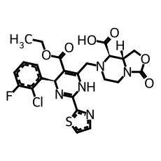 CCOC(=O)C1=C(CN2CCN3C(=O)OC[C@H]3[C@@H]2C(=O)O)NC(c2nccs2)=N[C@H]1c1cccc(F)c1Cl